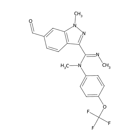 C/N=C(/c1nn(C)c2cc(C=O)ccc12)N(C)c1ccc(OC(F)(F)F)cc1